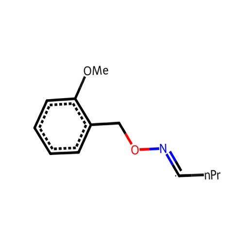 CCC/[C]=N/OCc1ccccc1OC